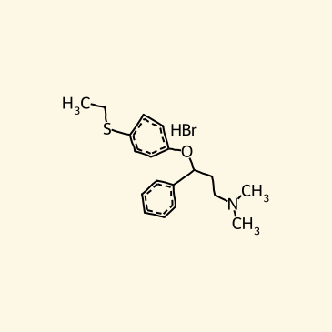 Br.CCSc1ccc(OC(CCN(C)C)c2ccccc2)cc1